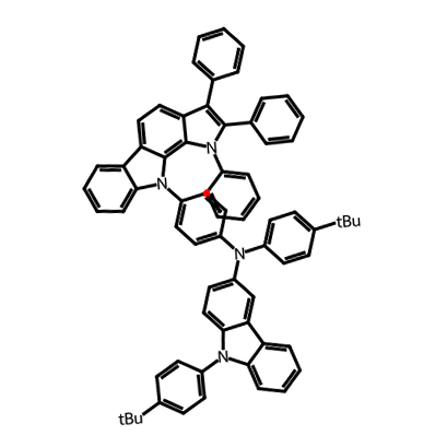 CC(C)(C)c1ccc(N(c2ccc(-n3c4ccccc4c4ccc5c(-c6ccccc6)c(-c6ccccc6)n(-c6ccccc6)c5c43)cc2)c2ccc3c(c2)c2ccccc2n3-c2ccc(C(C)(C)C)cc2)cc1